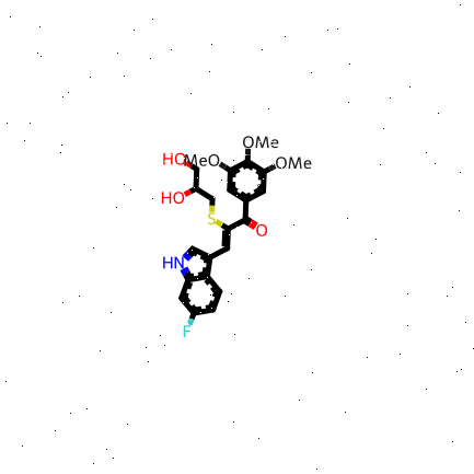 COc1cc(C(=O)C(=Cc2c[nH]c3cc(F)ccc23)SCC(O)CO)cc(OC)c1OC